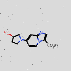 CCOC(=O)c1cnc2cc(N3CC[C@@H](O)C3)ccn12